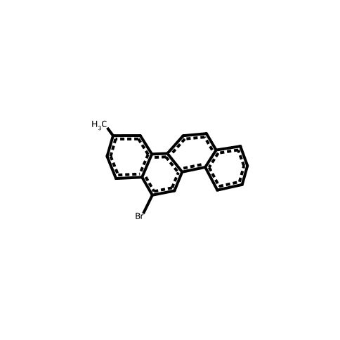 Cc1ccc2c(Br)cc3c4ccccc4ccc3c2c1